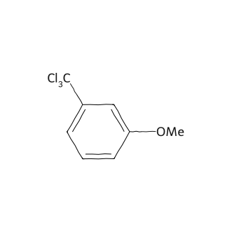 COc1cccc(C(Cl)(Cl)Cl)c1